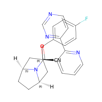 N#C[C@@]1(Cc2ccc(F)cc2)C[C@H]2CC[C@@H](C1)N2C(=O)c1cccnc1-c1ccncn1